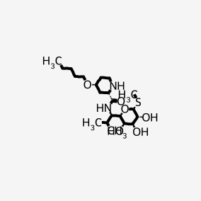 CCCCCO[C@@H]1CCN[C@H](C(=O)N[C@H](C(C)C)[C@H]2O[C@H](SC)[C@H](O)[C@@H](O)[C@H]2O)C1